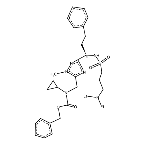 CCN(CC)CCCS(=O)(=O)N[C@H](CCc1ccccc1)c1nc(CN(C(=O)OCc2ccccc2)C2CC2)n(C)n1